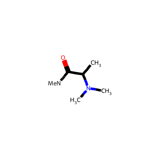 CNC(=O)C(C)N(C)C